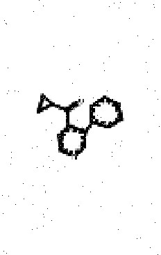 O=C(c1ccn[c]c1-c1ccccc1)C1CC1